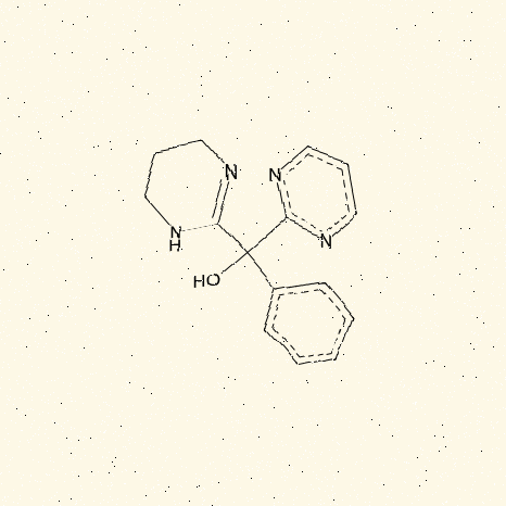 OC(C1=NCCCN1)(c1ccccc1)c1ncccn1